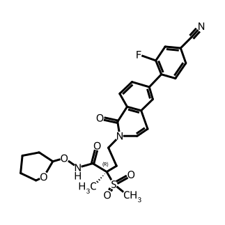 C[C@@](CCn1ccc2cc(-c3ccc(C#N)cc3F)ccc2c1=O)(C(=O)NOC1CCCCO1)S(C)(=O)=O